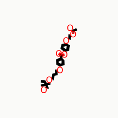 CCC1(COCCCCOc2ccc(C(=O)Oc3ccc(OCCOC(C)=O)cc3)cc2)COC1